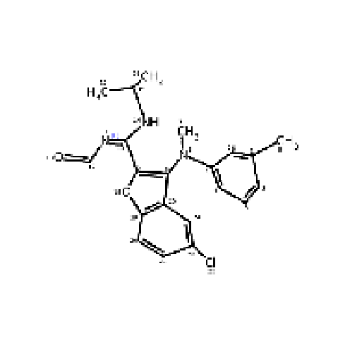 Cc1cccc(N(C)c2c(/C(=N\C=O)NC(C)C)oc3ccc(Cl)cc23)c1